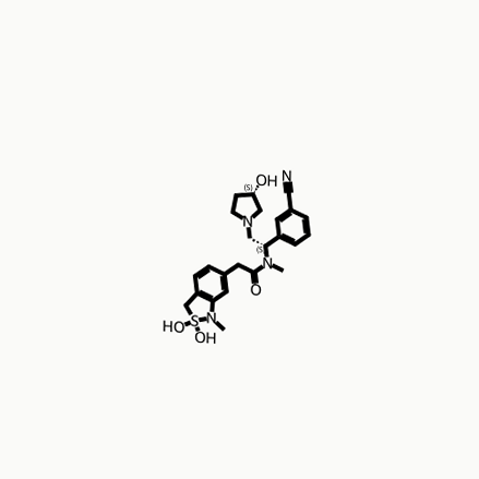 CN(C(=O)Cc1ccc2c(c1)N(C)S(O)(O)C2)[C@H](CN1CC[C@H](O)C1)c1cccc(C#N)c1